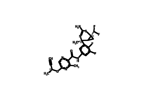 C#C[C@H](C)Oc1cnc(C(=O)Nc2cc(F)c(F)c([C@@]3(C)N=C(N)S[C@@]4(C(F)F)CC43)c2)c(C)n1